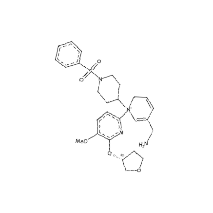 COc1ccc([N+]2(C3CCN(S(=O)(=O)c4ccccc4)CC3)C=C(CN)C=CC2)nc1O[C@@H]1CCOC1